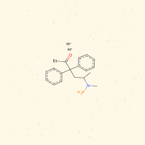 CCC(=O)C(CC(C)N(C)P)(c1ccccc1)c1ccccc1.[H+].[H+]